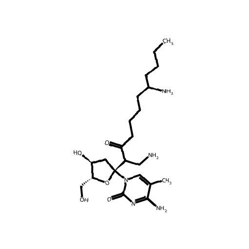 CCCCC(N)CCCCC(=O)C(CN)[C@]1(n2cc(C)c(N)nc2=O)C[C@H](O)[C@@H](CO)O1